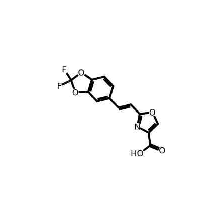 O=C(O)c1coc(/C=C/c2ccc3c(c2)OC(F)(F)O3)n1